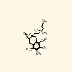 CCCC[N+](C)(C)CCC1(C)Oc2c(C)c(C)c(C)c(C)c2CC1OC=O.[Cl-]